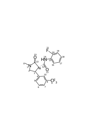 CN1CC(c2cccc(C(F)(F)F)c2)[C@@H](C(=O)Nc2ccccc2F)C1=O